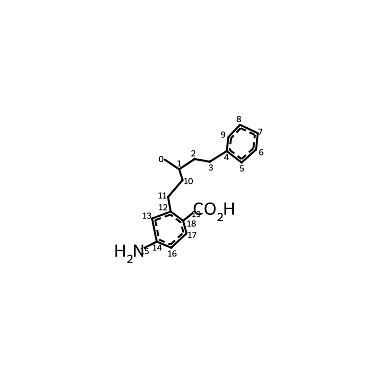 CC(CCc1ccccc1)CCc1cc(N)ccc1C(=O)O